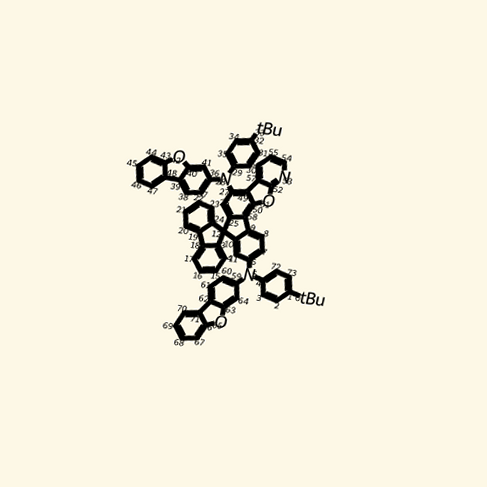 CC(C)(C)c1ccc(N(c2ccc3c(c2)C2(c4ccccc4-c4ccccc42)c2cc(N(c4ccc(C(C)(C)C)cc4)c4ccc5c(c4)oc4ccccc45)c4c(oc5ncccc54)c2-3)c2ccc3c(c2)oc2ccccc23)cc1